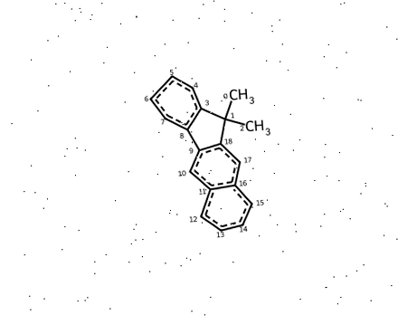 CC1(C)c2ccccc2-c2cc3ccc[c]c3cc21